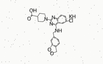 O=C(O)C1CCN(c2nc(NCc3ccc4c(c3)OOC4)c3cc(Cl)ccc3n2)CC1.[KH]